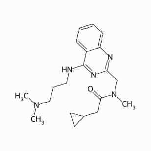 CN(C)CCCNc1nc(CN(C)C(=O)CC2CC2)nc2ccccc12